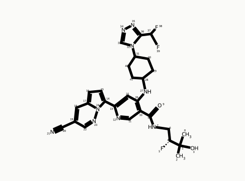 CC(C)(O)[C@H](F)CNC(=O)c1cnc(-c2ccc3cc(C#N)cnn23)cc1NC1CCC(n2cnnc2C(F)F)CC1